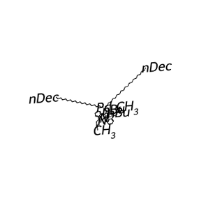 CC#CCCc1ccccc1C1=C(CCCC)C(CCCC)=C(c2ccccc2CCC#CC)[N+]1=[N-].CCCCCCCCCCCCCCCCCCCCCCCCCCCC[CH2][Pd][CH2]CCCCCCCCCCCCCCCCCCCCCCCCCCCC